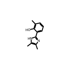 Cc1cccc(-c2nc(C)c(C)[nH]2)c1O